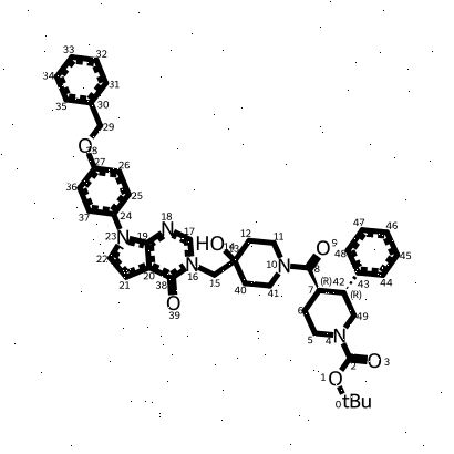 CC(C)(C)OC(=O)N1CC[C@@H](C(=O)N2CCC(O)(Cn3cnc4c(ccn4-c4ccc(OCc5ccccc5)cc4)c3=O)CC2)[C@H](c2ccccc2)C1